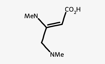 CNCC(=CC(=O)O)NC